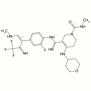 CN/C=C(\C(=N)C(F)(F)F)c1ccc(NC(=N)C2=C(NC3CCOCC3)CCN(C(=O)NC)C2)c(F)c1